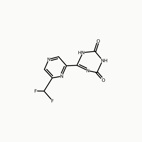 O=c1nc(-c2cncc(C(F)F)n2)[nH]c(=O)[nH]1